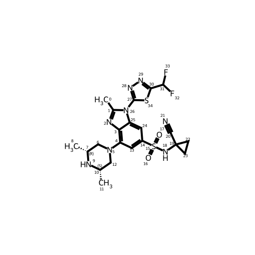 Cc1nc2c(N3C[C@@H](C)N[C@@H](C)C3)cc(S(=O)(=O)NC3(C#N)CC3)cc2n1-c1nnc(C(F)F)s1